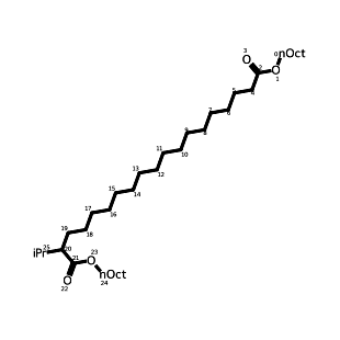 CCCCCCCCOC(=O)CCCCCCCCCCCCCCCCC(C(=O)OCCCCCCCC)C(C)C